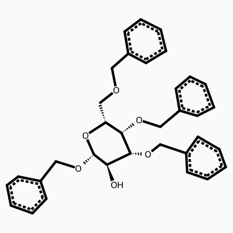 O[C@H]1[C@H](OCc2ccccc2)O[C@H](COCc2ccccc2)[C@H](OCc2ccccc2)[C@@H]1OCc1ccccc1